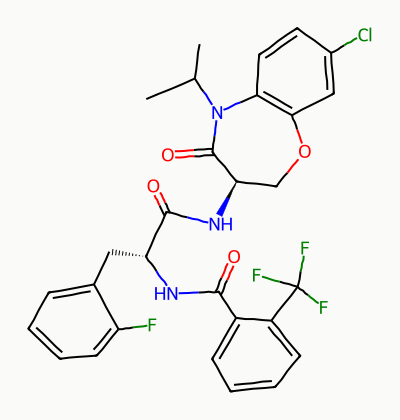 CC(C)N1C(=O)[C@H](NC(=O)[C@@H](Cc2ccccc2F)NC(=O)c2ccccc2C(F)(F)F)COc2cc(Cl)ccc21